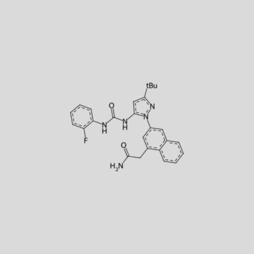 CC(C)(C)c1cc(NC(=O)Nc2ccccc2F)n(-c2cc(CC(N)=O)c3ccccc3c2)n1